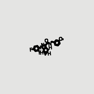 COc1cccc(CNC(=O)c2nn(-c3ccc(F)cc3F)c3c2C[C@H]2C[C@@H]32)c1